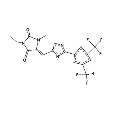 CCN1C(=O)C(=Cn2cnc(-c3cc(C(F)(F)F)cc(C(F)(F)F)c3)n2)N(C)C1=O